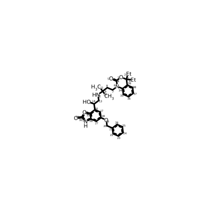 CCC1(CC)OC(=O)N(CCC(C)(C)NCC(O)c2cc(OCc3ccccc3)cc3[nH]c(=O)oc23)c2ccccc21